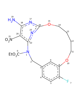 CCOC(=O)N1Cc2ccc(F)c(c2)OCCCCOc2nc(N)c([N+](=O)[O-])c1n2